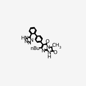 CCCCc1nc2n(c(=O)c1-c1ccc(-c3ccccc3-c3nnn[nH]3)cc1)C(C)C(=O)N2